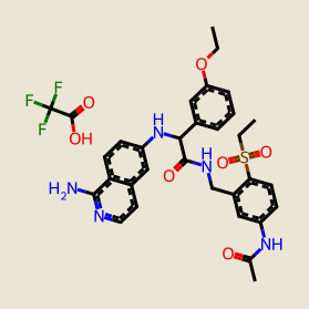 CCOc1cccc(C(Nc2ccc3c(N)nccc3c2)C(=O)NCc2cc(NC(C)=O)ccc2S(=O)(=O)CC)c1.O=C(O)C(F)(F)F